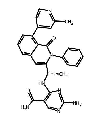 Cc1cc(-c2cccc3cc([C@H](C)Nc4nc(N)ncc4C(N)=O)n(-c4ccccc4)c(=O)c23)ccn1